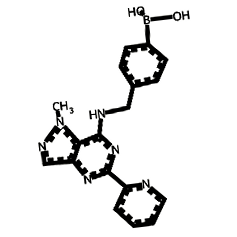 Cn1ncc2nc(-c3ccccn3)nc(NCc3ccc(B(O)O)cc3)c21